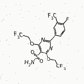 NS(=O)(=O)c1c(OCC(F)(F)F)nc(-c2ccc(F)c(C(F)(F)F)c2)nc1OCC(F)(F)F